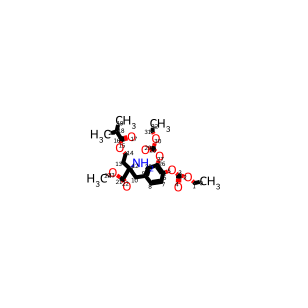 CCOC(=O)Oc1ccc(C[C@](N)(CCOC(=O)C(C)C)C(=O)OC)cc1OC(=O)OCC